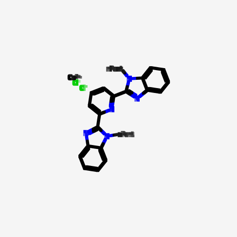 CCCCCn1c(-c2cccc(-c3nc4ccccc4n3CCCCC)n2)nc2ccccc21.[Cl-].[Cl-].[Co+2]